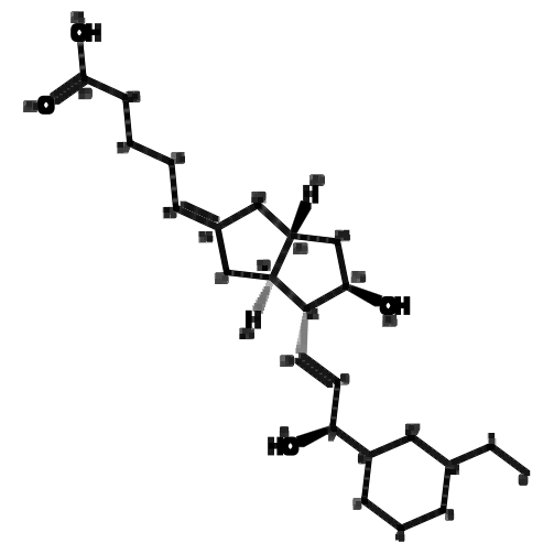 CCC1CCCC([C@@H](O)/C=C/[C@@H]2[C@H]3C/C(=C/CCCC(=O)O)C[C@@H]3C[C@H]2O)C1